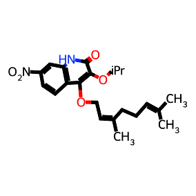 CC(C)=CCCC(C)=CCOc1c(OC(C)C)c(=O)[nH]c2cc([N+](=O)[O-])ccc12